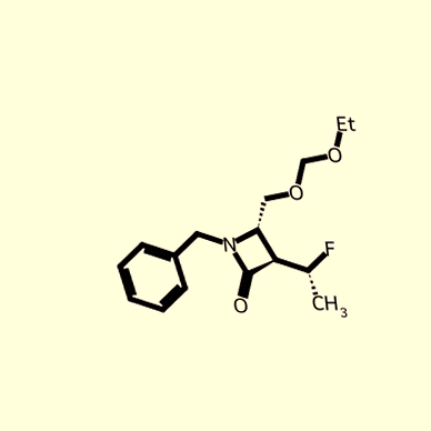 CCOCOC[C@@H]1[C@@H]([C@@H](C)F)C(=O)N1Cc1ccccc1